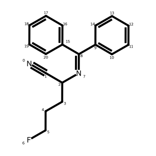 N#CC(CCCF)N=C(c1ccccc1)c1ccccc1